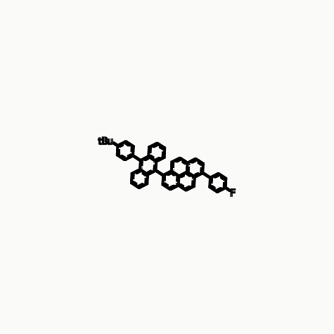 CC(C)(C)c1ccc(-c2c3ccccc3c(-c3ccc4ccc5c(-c6ccc(F)cc6)ccc6ccc3c4c65)c3ccccc23)cc1